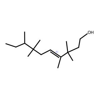 CCC(C)C(C)(C)C/C=C(\C)C(C)(C)CCO